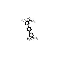 CC1(C)CCN(c2ccc(N3C=C(C(=O)C(F)(F)F)C(C)(C)CC3)cc2)CC1